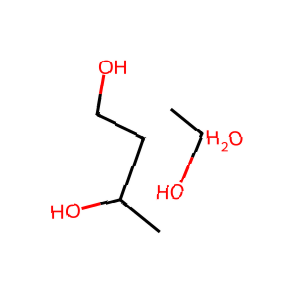 CC(O)CCO.CCO.O